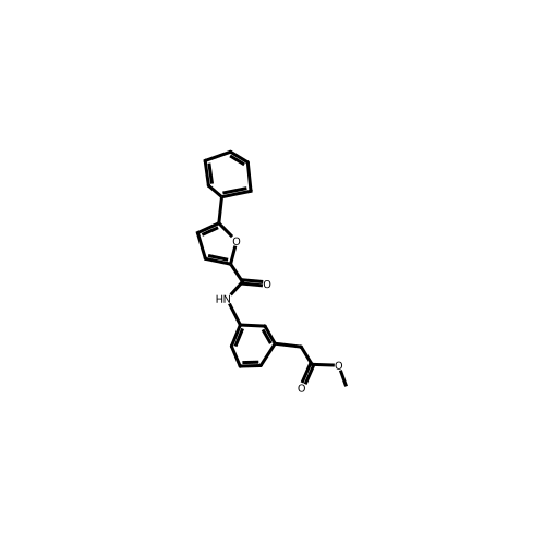 COC(=O)Cc1cccc(NC(=O)c2ccc(-c3ccccc3)o2)c1